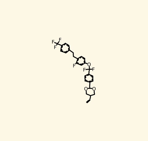 C=CC1COC(c2ccc(C(F)(F)Oc3ccc(CCc4ccc(C(F)(F)F)cc4)c(F)c3)cc2)OC1